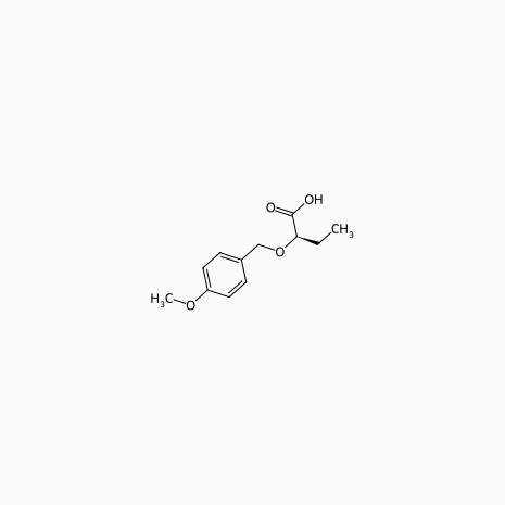 CC[C@@H](OCc1ccc(OC)cc1)C(=O)O